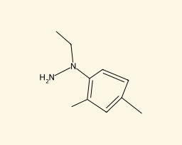 CCN(N)c1ccc(C)cc1C